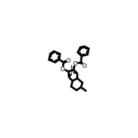 CC1CCC2C(C1)C1NC2C(OC(=O)c2ccccc2)C1OC(=O)c1ccccc1